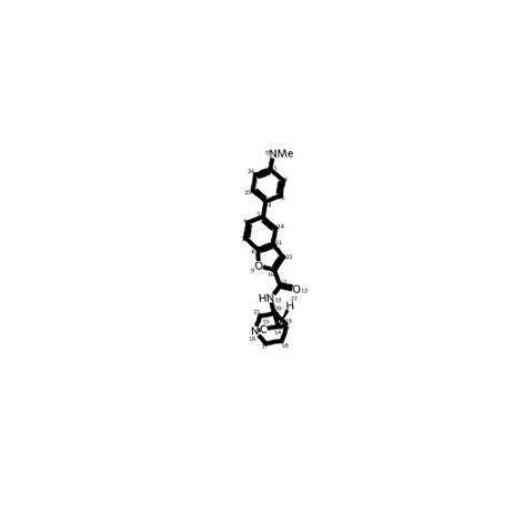 CNc1ccc(-c2ccc3oc(C(=O)N[C@H]4CN5CCC4CC5)cc3c2)cc1